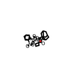 COC(=O)C12CC3CC(C1)C(NC(=O)C1(NS(=O)(=O)c4ccccc4[N+](=O)[O-])CCC1)C(C3)C2